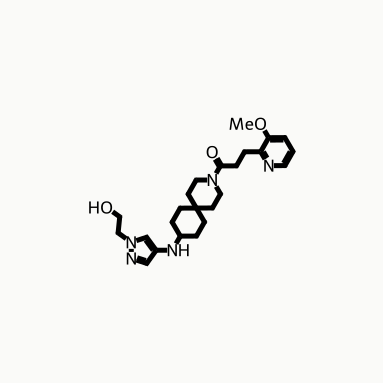 COc1cccnc1CCC(=O)N1CCC2(CCC(Nc3cnn(CCO)c3)CC2)CC1